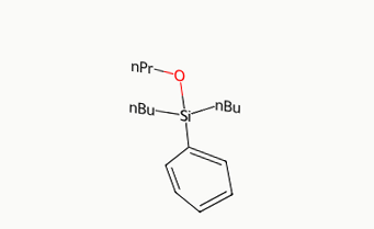 CCCC[Si](CCCC)(OCCC)c1ccccc1